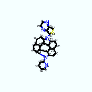 C1=CC2c3c4c(ccc5c4c4c(n(-c6scc7nccnc67)c6ccc1c3c46)=CC5)N2c1ccccn1